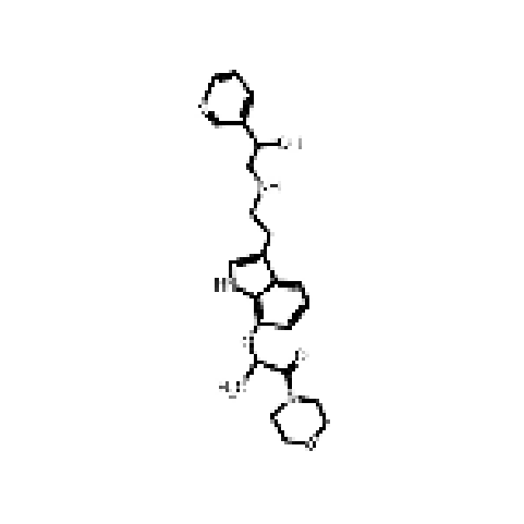 CC(Oc1cccc2c(CCNCC(O)c3cccnc3)c[nH]c12)C(=O)N1CCOCC1